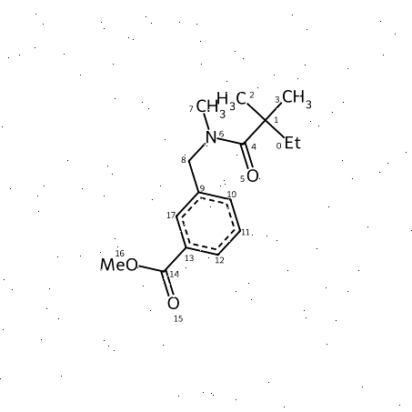 CCC(C)(C)C(=O)N(C)Cc1cccc(C(=O)OC)c1